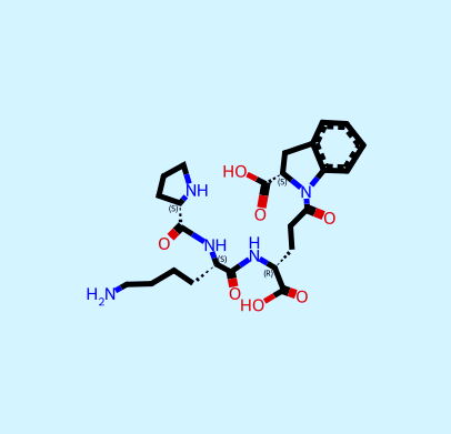 NCCCC[C@H](NC(=O)[C@@H]1CCCN1)C(=O)N[C@H](CCC(=O)N1c2ccccc2C[C@H]1C(=O)O)C(=O)O